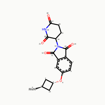 CN[C@H]1C[C@H](Oc2ccc3c(c2)C(=O)N(C2CCC(=O)NC2=O)C3=O)C1